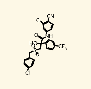 N#Cc1ccc(NC(=O)C(O)(CS(=O)(=O)Cc2ccc(Cl)cc2)c2ccc(C(F)(F)F)cc2)cc1Cl